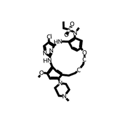 CCS(=O)(=O)N(C)c1cc2ccc1Nc1nc(ncc1Cl)Nc1cc(c(N3CCN(C)CC3)cc1OC)CCCCCO2